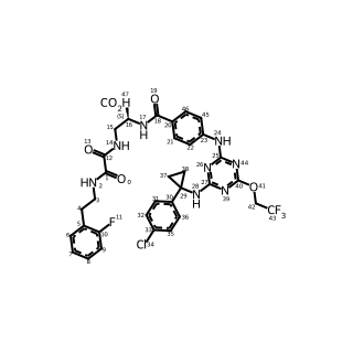 O=C(NCCc1ccccc1F)C(=O)NC[C@H](NC(=O)c1ccc(Nc2nc(NC3(c4ccc(Cl)cc4)CC3)nc(OCC(F)(F)F)n2)cc1)C(=O)O